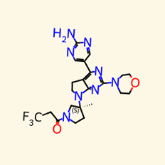 C[C@]1(N2CCc3c(-c4cnc(N)nc4)nc(N4CCOCC4)nc32)CCN(C(=O)CC(F)(F)F)C1